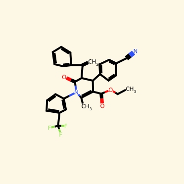 C=C(c1ccccc1)C1C(=O)N(c2cccc(C(F)(F)F)c2)C(C)=C(C(=O)OCC)C1c1ccc(C#N)cc1